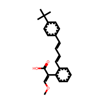 CO/C=C(/C(=O)O)c1ccccc1/C=C/C=C/c1ccc(C(C)(C)C)cc1